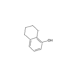 Oc1cccc2c1[CH]CCC2